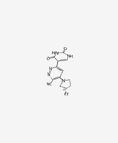 CC[C@H]1CCN(c2cc(-c3c[nH]c(=O)[nH]c3=O)nnc2C#N)C1